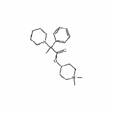 CC(C(=O)OC1CC[N+](C)(C)CC1)(c1ccccc1)N1CCCCC1